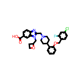 O=C(O)c1ccc2nc(CN3CCC(c4ccccc4OCc4ccc(Cl)cc4F)CC3)n(CC3CCO3)c2c1